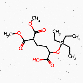 CC[Si](CC)(CC)OC(CCC(C(=O)OC)C(=O)OC)C(=O)O